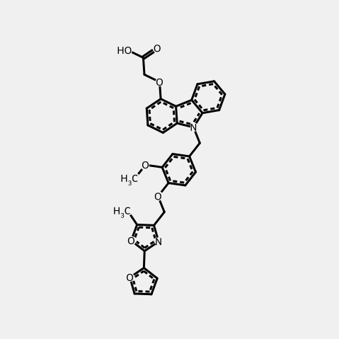 COc1cc(Cn2c3ccccc3c3c(OCC(=O)O)cccc32)ccc1OCc1nc(-c2ccco2)oc1C